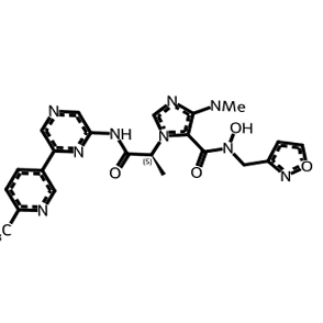 CNc1ncn([C@@H](C)C(=O)Nc2cncc(-c3ccc(C(F)(F)F)nc3)n2)c1C(=O)N(O)Cc1ccon1